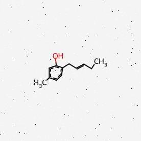 CC/C=C/Cc1ccc(C)cc1O